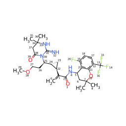 C=C(C(=O)NC1CC(C)(C)Oc2c(C(F)(F)F)ccc(F)c21)[C@@H]1C[C@H]1[C@@H](CCOC)N1C(=N)NC(C)(C)CC1=O